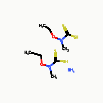 CCON(C)C(=S)S.CCON(C)C(=S)S.N